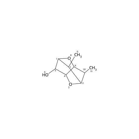 CC1C2OC3C(O)C1OC3C2C